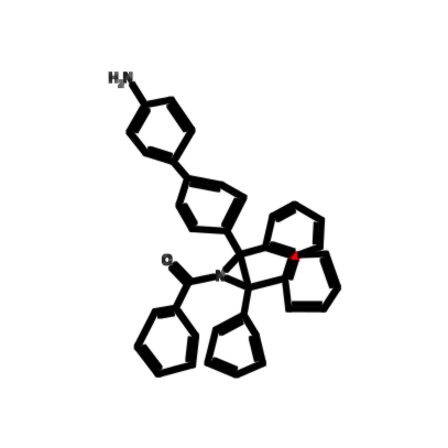 Nc1ccc(-c2ccc(C3(c4ccccc4)N(C(=O)c4ccccc4)C3(c3ccccc3)c3ccccc3)cc2)cc1